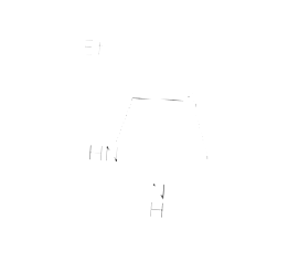 CCC1NNCS1